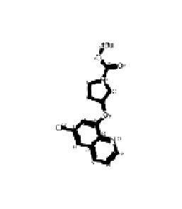 CC(C)(C)OC(=O)N1CCC(Oc2cc(Cl)cc3cccnc23)C1